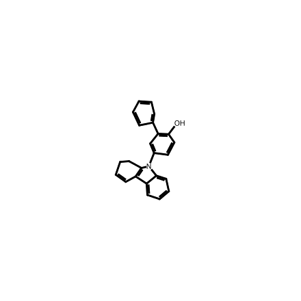 Oc1ccc(-n2c3c(c4ccccc42)C=CCC3)cc1-c1ccccc1